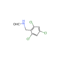 O=CNCc1c(Cl)cc(Cl)cc1Cl